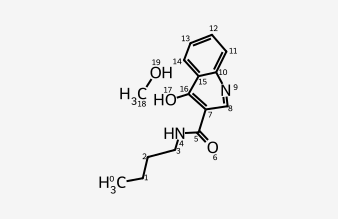 CCCCNC(=O)c1cnc2ccccc2c1O.CO